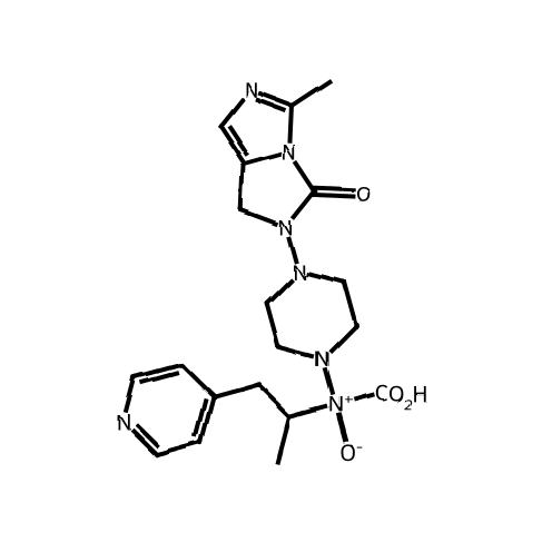 Cc1ncc2n1C(=O)N(N1CCN([N+]([O-])(C(=O)O)C(C)Cc3ccncc3)CC1)C2